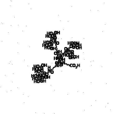 O=C(O)CCCCCNC(=O)CN(CC(=O)NCCCCCC(=O)NCCO[C@H]1O[C@H](CO[C@H]2O[C@H](CO)[C@@H](O)[C@H](O)[C@@H]2O)[C@@H](O)[C@H](O[C@H]2O[C@H](CO)[C@@H](O)[C@H](O)[C@@H]2O)[C@@H]1O)CC(=O)N[C@@H](CCC(=O)NCCCCCC(=O)N(CCO[C@H]1O[C@H](CO)[C@@H](O)[C@H](O)[C@@H]1O)CCO[C@H]1O[C@H](CO)[C@@H](O)[C@H](O)[C@@H]1O)C(=O)NCCCCCC(=O)N(CCO[C@H]1O[C@H](CO)[C@@H](O)[C@H](O)[C@@H]1O)CCO[C@H]1O[C@H](CO)[C@@H](O)[C@H](O)[C@@H]1O